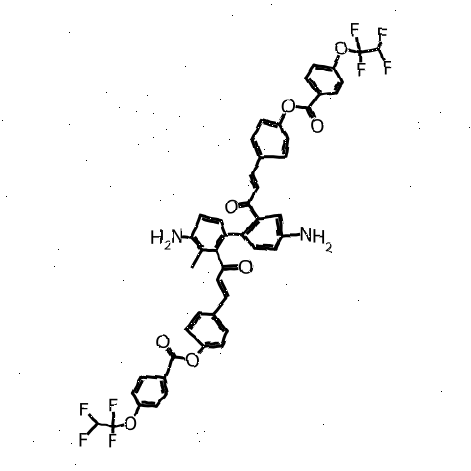 Cc1c(N)ccc(-c2ccc(N)cc2C(=O)C=Cc2ccc(OC(=O)c3ccc(OC(F)(F)C(F)F)cc3)cc2)c1C(=O)C=Cc1ccc(OC(=O)c2ccc(OC(F)(F)C(F)F)cc2)cc1